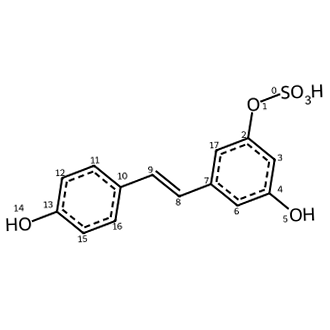 O=S(=O)(O)Oc1cc(O)cc(C=Cc2ccc(O)cc2)c1